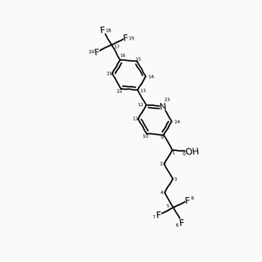 OC(CCCC(F)(F)F)c1ccc(-c2ccc(C(F)(F)F)cc2)nc1